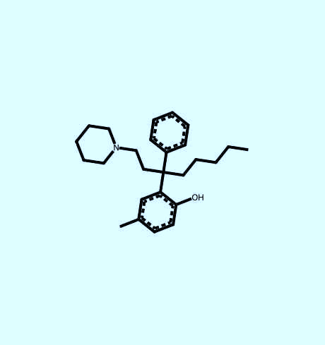 CCCCCC(CCN1CCCCC1)(c1ccccc1)c1cc(C)ccc1O